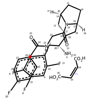 N[C@H](Cc1cc(F)c(F)cc1F)[C@@H]1C[C@H]2CC[C@@H](C1)N2C(=O)CNC(=O)c1ccc(F)cc1.O=C(O)/C=C\C(=O)O